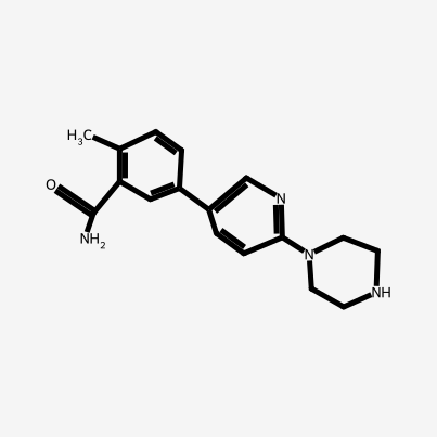 Cc1ccc(-c2ccc(N3CCNCC3)nc2)cc1C(N)=O